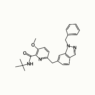 COc1ccc(Cc2ccc3cnn(Cc4ccccc4)c3c2)nc1C(=O)NC(C)(C)C